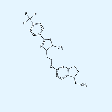 CC[C@@H]1CCc2cc(OCCC3N=C(c4ccc(C(F)(F)F)cc4)SC3C)ccc21